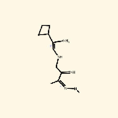 CN/N=C(/C)C(=N)CN/C=C(\N)C1CCC1